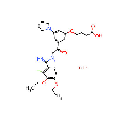 Br.CCOc1cc2c(c(F)c1OCC)C(=N)N(CC(=O)c1cc(OCCCC(=O)O)cc(N3CCCC3)c1)C2